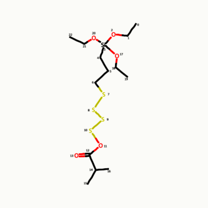 CCO[Si](CCCSSSSOC(=O)C(C)C)(OCC)OCC